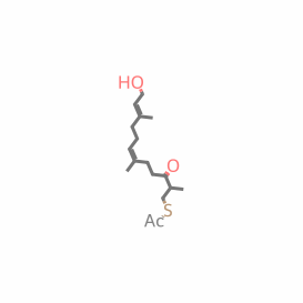 CC(=O)SCC(C)C(=O)CC/C(C)=C\CC/C(C)=C/CO